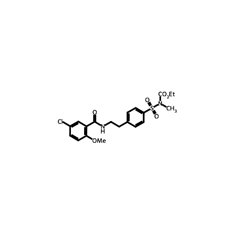 CCOC(=O)N(C)S(=O)(=O)c1ccc(CCNC(=O)c2cc(Cl)ccc2OC)cc1